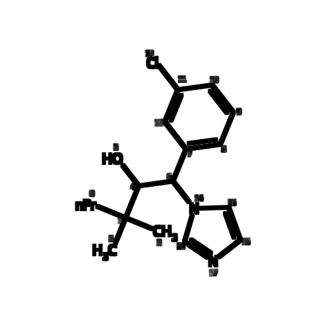 CCCC(C)(C)C(O)C(c1cccc(Cl)c1)n1ccnc1